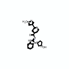 Cn1cc(-c2cc(C(=O)/N=c3\[nH]c4ccccc4n3[C@H]3CC[C@@H](O)C3)ccn2)cn1